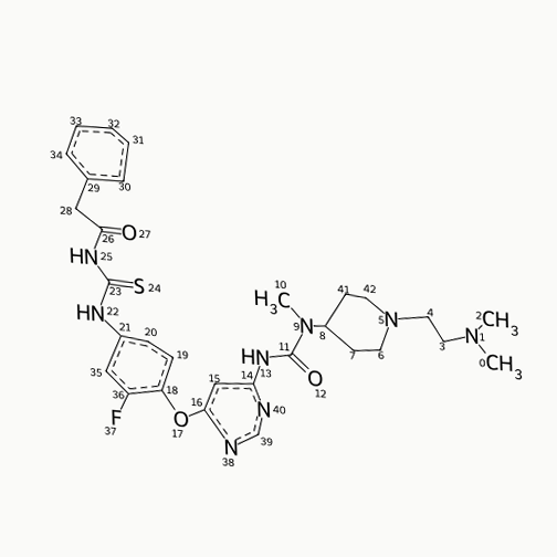 CN(C)CCN1CCC(N(C)C(=O)Nc2cc(Oc3ccc(NC(=S)NC(=O)Cc4ccccc4)cc3F)ncn2)CC1